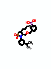 CCCCC1CS(=O)(=O)N(c2cccc(C(C)C)c2)C1COCc1cccc(P(O)O)c1